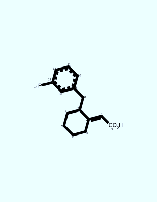 O=C(O)C=C1CCCCC1Cc1cccc(F)c1